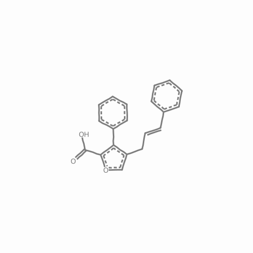 O=C(O)c1occ(CC=Cc2ccccc2)c1-c1ccccc1